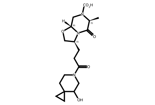 C[C@H]1C(=O)N2[C@@H](CCC(=O)N3CCC4(CC4)C(O)C3)CO[C@@H]2CN1C(=O)O